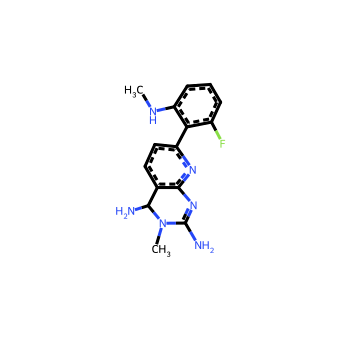 CNc1cccc(F)c1-c1ccc2c(n1)N=C(N)N(C)C2N